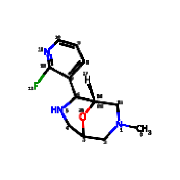 CN1CC2CNC(c3cccnc3F)[C@H](C1)O2